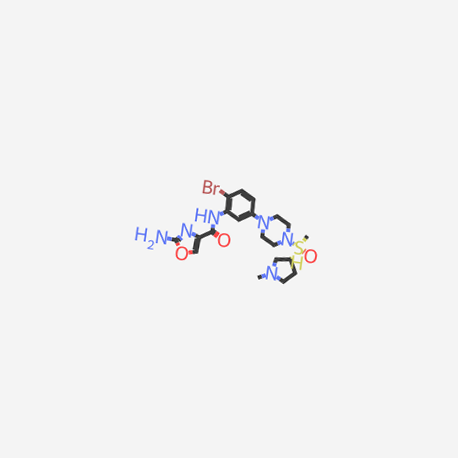 CN1CCC([SH](C)(=O)N2CCN(c3ccc(Br)c(NC(=O)c4coc(N)n4)c3)CC2)C1